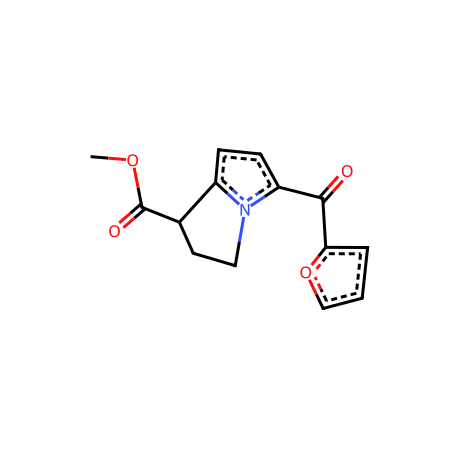 COC(=O)C1CCn2c(C(=O)c3ccco3)ccc21